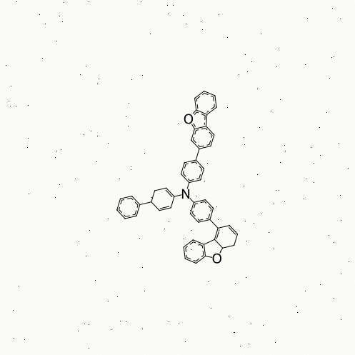 C1=CC(c2ccc(N(C3=CCC(c4ccccc4)C=C3)c3ccc(-c4ccc5c(c4)oc4ccccc45)cc3)cc2)=C2c3ccccc3OC2C1